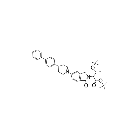 C[C@@H](OC(C)(C)C)[C@@H](C(=O)OC(C)(C)C)N1Cc2cc(N3CCC(c4ccc(-c5ccccc5)cc4)CC3)ccc2C1=O